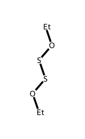 CCOSSOCC